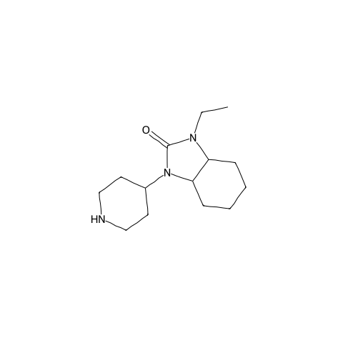 CCN1C(=O)N(C2CCNCC2)C2CCCCC21